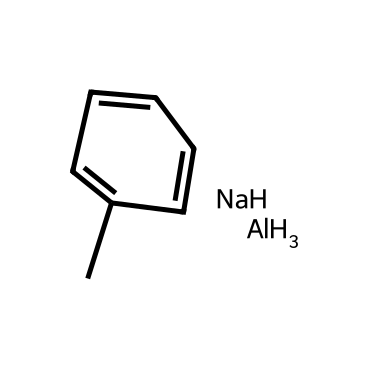 Cc1ccccc1.[AlH3].[NaH]